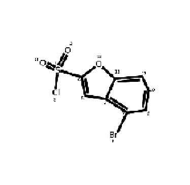 O=S(=O)(Cl)c1cc2c(Br)cccc2o1